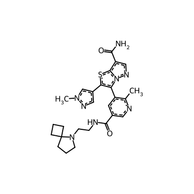 Cc1ncc(C(=O)NCCN2CCCC23CCC3)cc1-c1c(-c2cnn(C)c2)sc2c(C(N)=O)cnn12